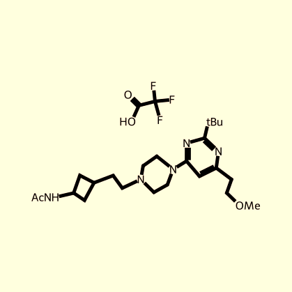 COCCc1cc(N2CCN(CCC3CC(NC(C)=O)C3)CC2)nc(C(C)(C)C)n1.O=C(O)C(F)(F)F